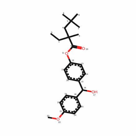 CCC(C)(CC(C)(C)C)C(=O)Oc1ccc(C(O)c2ccc(OC)cc2)cc1